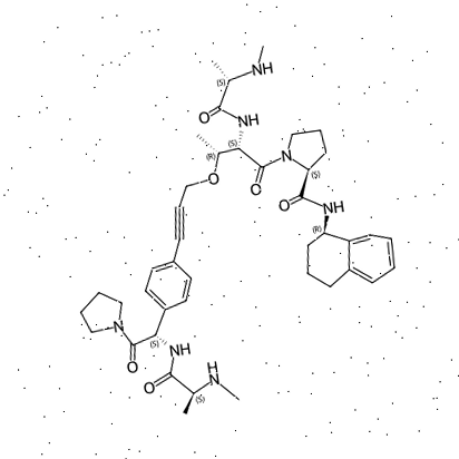 CN[C@@H](C)C(=O)N[C@H](C(=O)N1CCCC1)c1ccc(C#CCO[C@H](C)[C@H](NC(=O)[C@H](C)NC)C(=O)N2CCC[C@H]2C(=O)N[C@@H]2CCCc3ccccc32)cc1